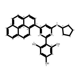 Oc1cc(O)c(-c2nc(OC3CCCC3)cc(-c3ccc4ccc5cccc6ccc3c4c56)n2)c(O)c1